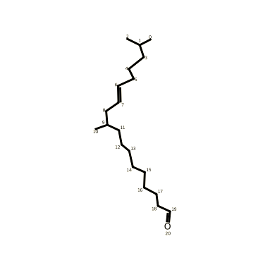 CC(C)CCCC=CCC(C)CCCCCCCCC=O